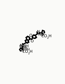 CC(C)(C)C1CCN(C(=O)O)[C@]1(c1ncc(-c2ccc3c(ccc4oc5cc(-c6cnc([C@@H]7CCCN7C(=O)O)[nH]6)ccc5c(=O)c43)c2)[nH]1)C(C)(C)C